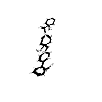 CCC1(C(=O)N2CCC(O)(CN3C=CC(c4ccccc4F)=NC3)CC2)CCCCC1